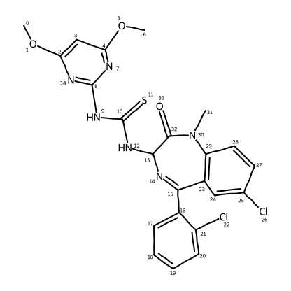 COc1cc(OC)nc(NC(=S)NC2N=C(c3ccccc3Cl)c3cc(Cl)ccc3N(C)C2=O)n1